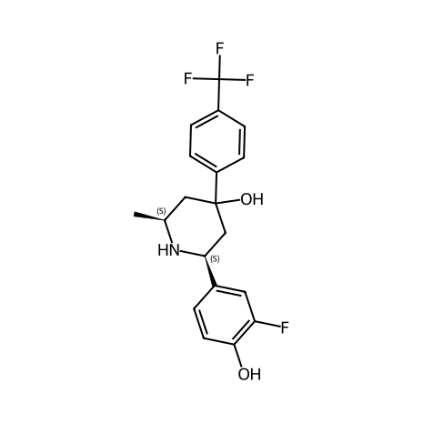 C[C@H]1CC(O)(c2ccc(C(F)(F)F)cc2)C[C@@H](c2ccc(O)c(F)c2)N1